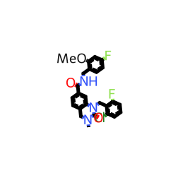 COc1cc(F)ccc1CNC(=O)c1ccc2c(c1)N(Cc1c(F)cccc1Cl)C(=O)N(C)C2